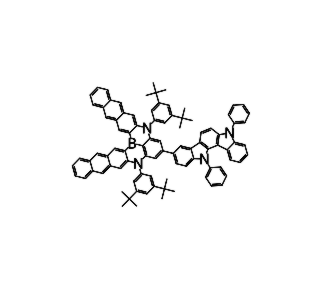 CC(C)(C)c1cc(N2c3cc4cc5ccccc5cc4cc3B3c4cc5cc6ccccc6cc5cc4N(c4cc(C(C)(C)C)cc(C(C)(C)C)c4)c4cc(-c5ccc6c(c5)c5ccc7c(c8ccccc8n7-c7ccccc7)c5n6-c5ccccc5)cc2c43)cc(C(C)(C)C)c1